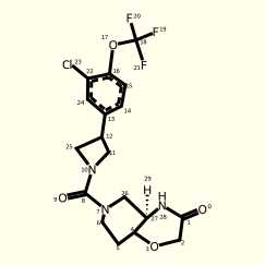 O=C1COC2CCN(C(=O)N3CC(c4ccc(OC(F)(F)F)c(Cl)c4)C3)C[C@H]2N1